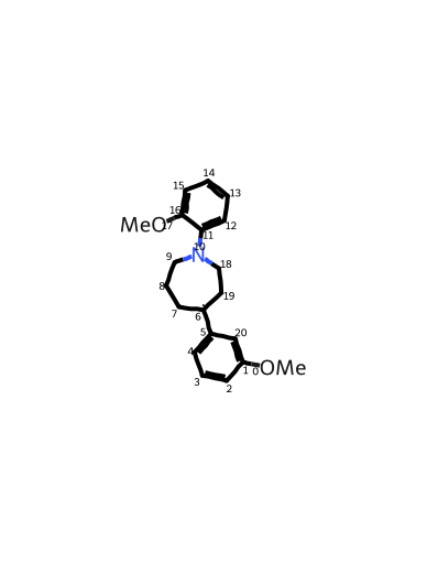 COc1cccc([C]2CCCN(c3ccccc3OC)CC2)c1